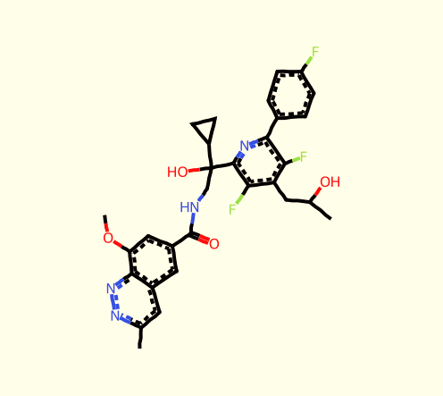 COc1cc(C(=O)NCC(O)(c2nc(-c3ccc(F)cc3)c(F)c(CC(C)O)c2F)C2CC2)cc2cc(C)nnc12